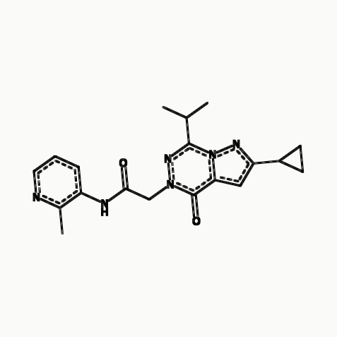 Cc1ncccc1NC(=O)Cn1nc(C(C)C)n2nc(C3CC3)cc2c1=O